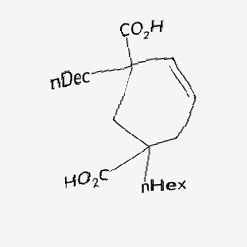 CCCCCCCCCCC1(C(=O)O)C=CCC(CCCCCC)(C(=O)O)C1